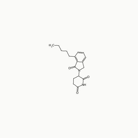 [CH2]CCCCc1cccc2c1C(=O)N(C1CCC(=O)NC1=O)C2